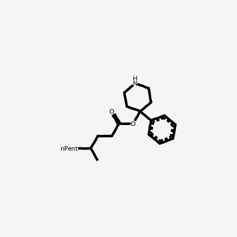 CCCCCC(C)CCC(=O)OC1(c2ccccc2)CCNCC1